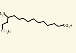 O=C(O)CCCCCCCCCCC(CCC(=O)O)[N+](=O)[O-]